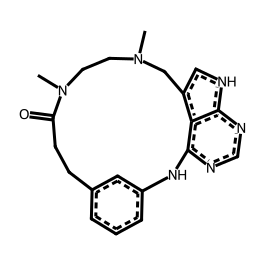 CN1CCN(C)C(=O)CCc2cccc(c2)Nc2ncnc3[nH]cc(c23)C1